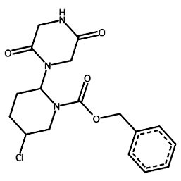 O=C1CN(C2CCC(Cl)CN2C(=O)OCc2ccccc2)C(=O)CN1